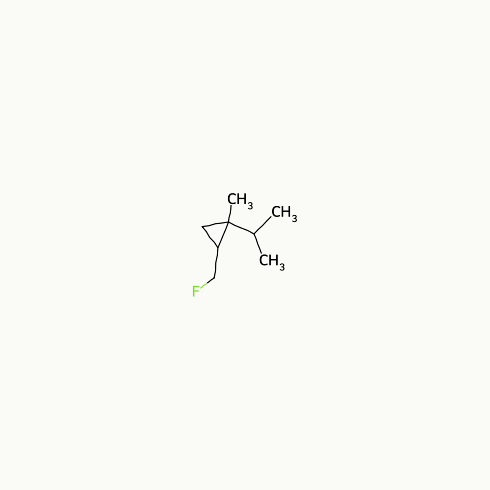 CC(C)C1(C)CC1CF